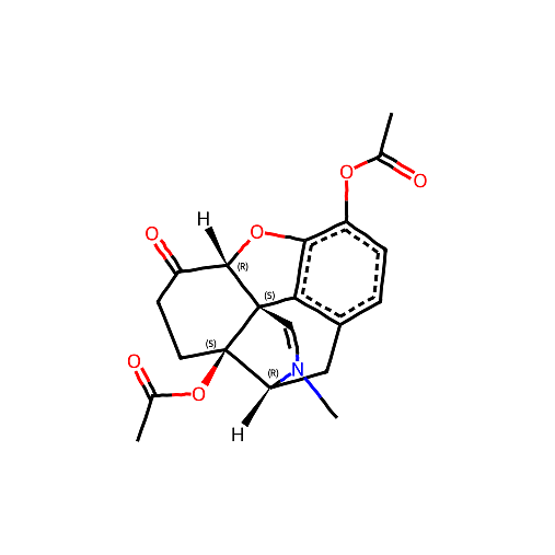 CC(=O)Oc1ccc2c3c1O[C@H]1C(=O)CC[C@@]4(OC(C)=O)[C@@H](C2)N(C)C=C[C@]314